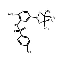 COc1ncc(B2OC(C)(C)C(C)(C)O2)cc1NS(=O)(=O)c1ccc(O)cc1